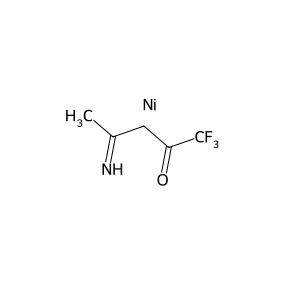 CC(=N)CC(=O)C(F)(F)F.[Ni]